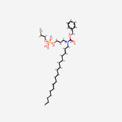 CCCCCCCCCCCCCCCCCCN(CCCOP(=O)(O)OCCBr)C(=O)OCc1ccccc1